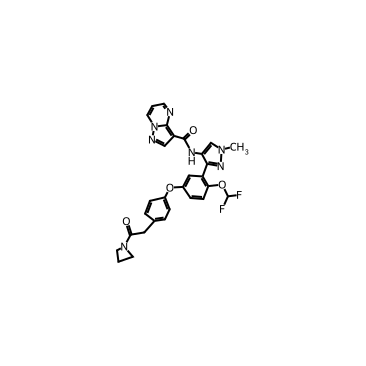 Cn1cc(NC(=O)c2cnn3cccnc23)c(-c2cc(Oc3ccc(CC(=O)N4CCC4)cc3)ccc2OC(F)F)n1